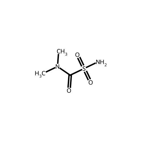 CN(C)C(=O)S(N)(=O)=O